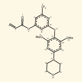 C=CC(=O)Oc1cc(C(F)(F)F)nc(Sc2c(OC)nc(N3CCOCC3)nc2OC)n1